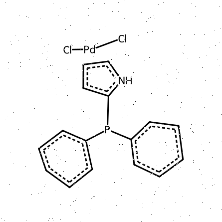 [Cl][Pd][Cl].c1ccc(P(c2ccccc2)c2ccc[nH]2)cc1